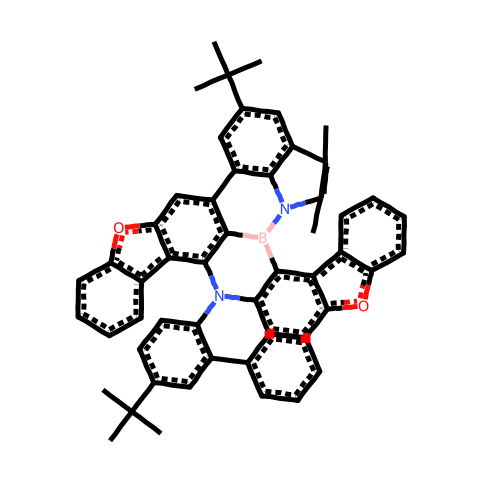 CC(C)(C)c1ccc(N2c3ccc4oc5ccccc5c4c3B3c4c(cc5oc6ccccc6c5c42)-c2cc(C(C)(C)C)cc4c2N3C2(C)CCCCC42C)c(-c2ccccc2)c1